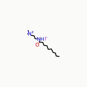 CCCCCCCCCC(=O)NCCC[N+](C)(C)C.[I-]